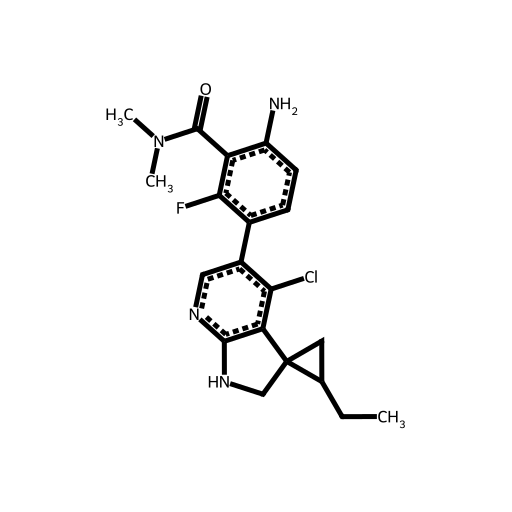 CCC1CC12CNc1ncc(-c3ccc(N)c(C(=O)N(C)C)c3F)c(Cl)c12